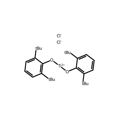 CC(C)(C)c1cccc(C(C)(C)C)c1[O][Ti+2][O]c1c(C(C)(C)C)cccc1C(C)(C)C.[Cl-].[Cl-]